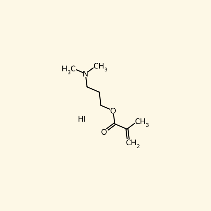 C=C(C)C(=O)OCCCN(C)C.I